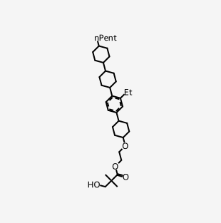 CCCCCC1CCC(C2CCC(c3ccc(C4CCC(OCCOC(=O)C(C)(C)CO)CC4)cc3CC)CC2)CC1